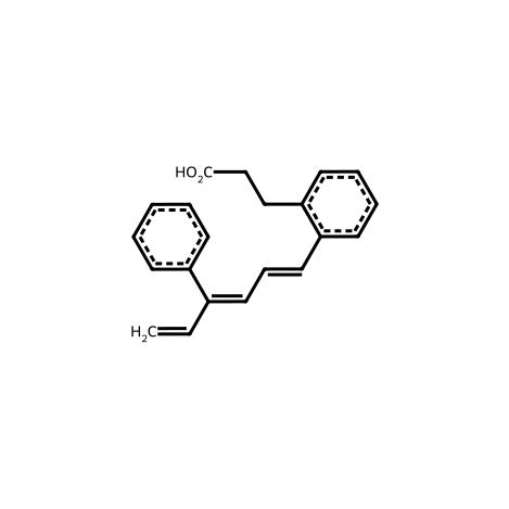 C=CC(=CC=Cc1ccccc1CCC(=O)O)c1ccccc1